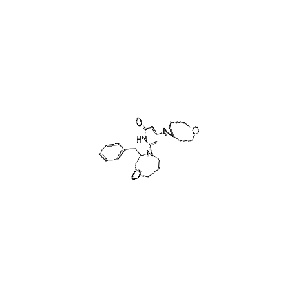 O=c1cc(N2CCOCC2)cc(N2CCCOCC2Cc2ccccc2)[nH]1